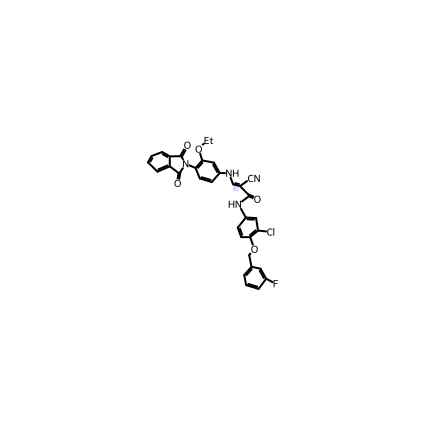 CCOc1cc(N/C=C(\C#N)C(=O)Nc2ccc(OCc3cccc(F)c3)c(Cl)c2)ccc1N1C(=O)c2ccccc2C1=O